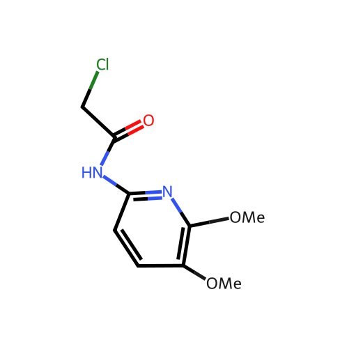 COc1ccc(NC(=O)CCl)nc1OC